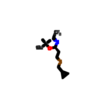 CC(C)(C)[Si](C)(C)O[C@H](CCSCC1CC1)N=CC(F)(F)F